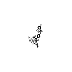 COc1ccc(F)cc1C(=O)NCc1ccc(C2NN(C3CN(C(C)C)CC3(F)F)C(N)=C2C(N)=O)cc1